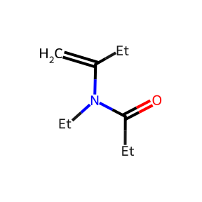 C=C(CC)N(CC)C(=O)CC